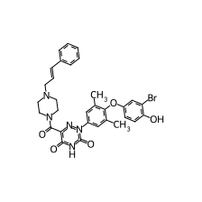 Cc1cc(-n2nc(C(=O)N3CCN(C/C=C/c4ccccc4)CC3)c(=O)[nH]c2=O)cc(C)c1Oc1ccc(O)c(Br)c1